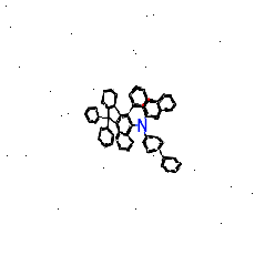 c1ccc(-c2ccc(N(c3ccc4ccccc4c3)c3c(-c4ccccc4)c4c(c5ccccc35)C(c3ccccc3)(c3ccccc3)c3ccccc3-4)cc2)cc1